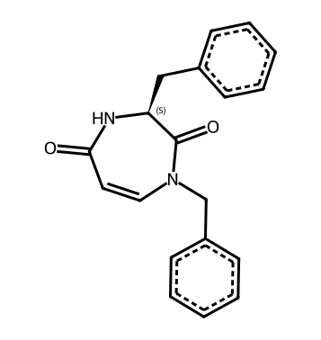 O=C1C=CN(Cc2ccccc2)C(=O)[C@H](Cc2ccccc2)N1